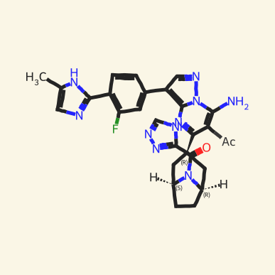 CC(=O)c1c([C@H]2C[C@H]3CC[C@@H](C2)N3C(=O)c2nnc[nH]2)nc2c(-c3ccc(-c4ncc(C)[nH]4)c(F)c3)cnn2c1N